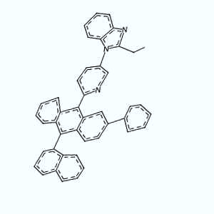 CCc1nc2ccccc2n1-c1ccc(-c2c3ccccc3c(-c3cccc4ccccc34)c3ccc(-c4ccccc4)cc23)nc1